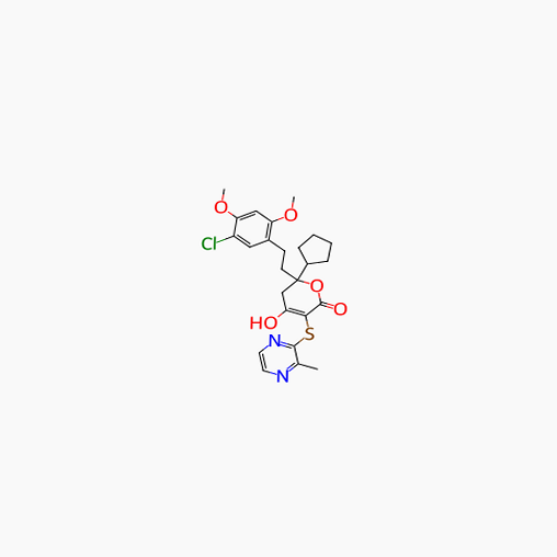 COc1cc(OC)c(CCC2(C3CCCC3)CC(O)=C(Sc3nccnc3C)C(=O)O2)cc1Cl